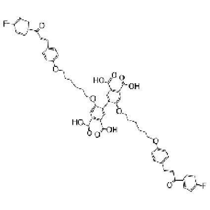 O=C(C=Cc1ccc(OCCCCCCOc2cc(C(=O)O)c(C(=O)O)cc2-c2cc(C(=O)O)c(C(=O)O)cc2OCCCCCCOc2ccc(C=CC(=O)c3ccc(F)cc3)cc2)cc1)c1ccc(F)cc1